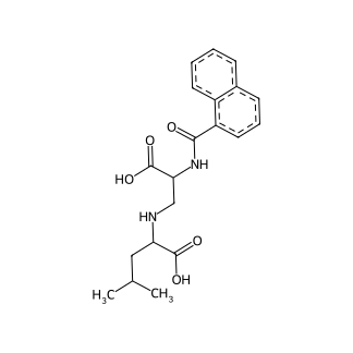 CC(C)CC(NCC(NC(=O)c1cccc2ccccc12)C(=O)O)C(=O)O